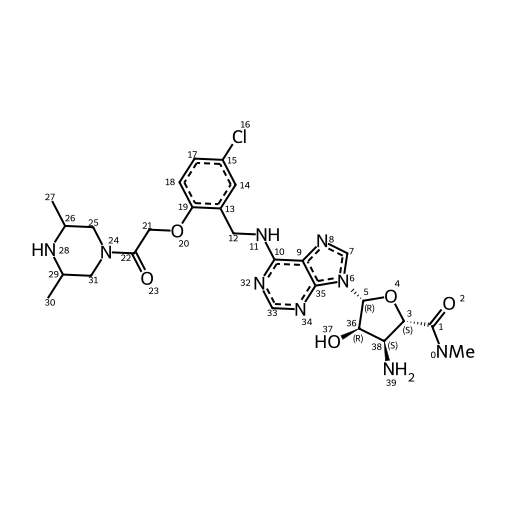 CNC(=O)[C@H]1O[C@@H](n2cnc3c(NCc4cc(Cl)ccc4OCC(=O)N4CC(C)NC(C)C4)ncnc32)[C@H](O)[C@@H]1N